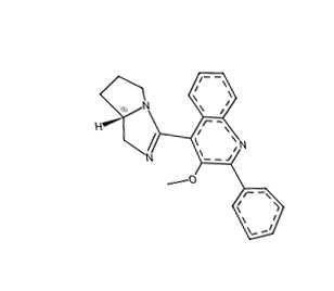 COc1c(-c2ccccc2)nc2ccccc2c1C1=NC[C@@H]2CCCN12